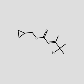 CCC(C)(C)/C(C)=C/C(=O)OCC1CC1